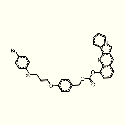 O=C(OCc1ccc(OC=CC[Se]c2ccc(Br)cc2)cc1)Oc1cccc2cc3cn4ccccc4c3nc12